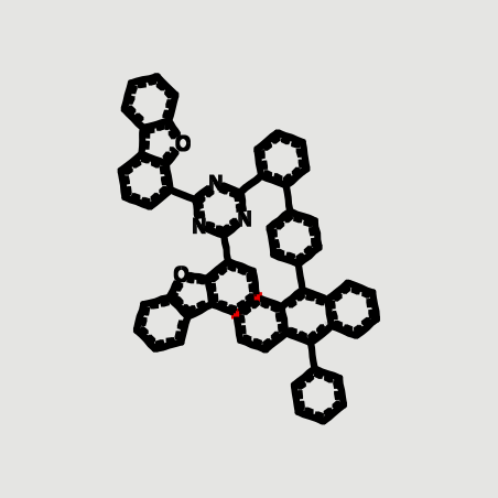 c1ccc(-c2c3ccccc3c(-c3ccc(-c4ccccc4-c4nc(-c5cccc6c5oc5ccccc56)nc(-c5cccc6c5oc5ccccc56)n4)cc3)c3ccccc23)cc1